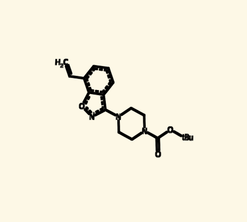 C=Cc1cccc2c(N3CCN(C(=O)OC(C)(C)C)CC3)noc12